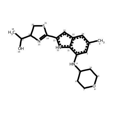 Cc1cc(NC2CCOCC2)c2[nH]c(C3=NC(C(C)O)CS3)cc2c1